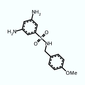 COc1ccc(CNS(=O)(=O)c2cc(N)cc(N)c2)cc1